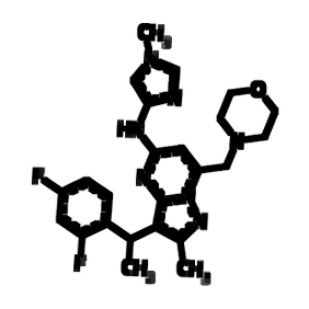 Cc1nn2c(CN3CCOCC3)cc(Nc3cn(C)cn3)nc2c1C(C)c1ccc(F)cc1F